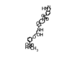 CNS(=O)(=O)c1cccc(OCC(O)CNC2COC3(CCN(S(=O)(=O)c4ccc5cn[nH]c5c4)CC3)C2)c1